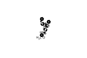 Cc1ccc(NC(=O)N2CCN(c3cnn(-c4ccccc4)c(=O)c3NC3CCN(Cc4ccccc4)CC3)CC2)cc1Cl